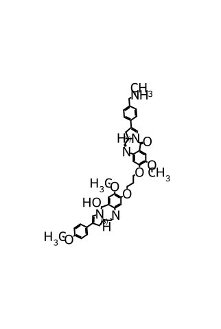 CNCc1ccc(C2=CN3C(=O)c4cc(OC)c(OCCCOc5cc6c(cc5OC)C(O)N5C=C(c7ccc(OC)cc7)C[C@H]5C=N6)cc4N=C[C@@H]3C2)cc1